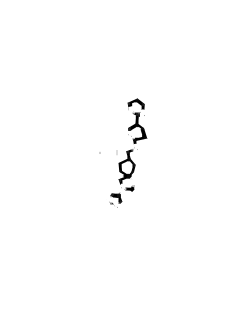 Cl.Cl.O=C1OC2(CCC(CNc3ccc(-c4ncccn4)cn3)CC2)CN1c1cn[nH]c1